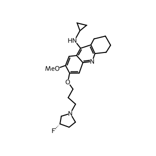 COc1cc2c(NC3CC3)c3c(nc2cc1OCCCN1CC[C@H](F)C1)CCCC3